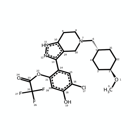 CO[C@H]1CC[C@H](CN2CCc3[nH]nc(-c4cc(Cl)c(O)cc4OC(=O)C(F)(F)F)c3C2)CC1